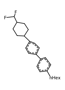 CCCCCCc1ccc(-c2ccc(C3CCC(C(F)F)CC3)cc2)cc1